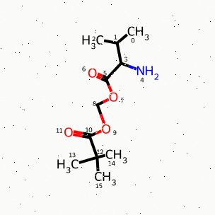 CC(C)C(N)C(=O)OCOC(=O)C(C)(C)C